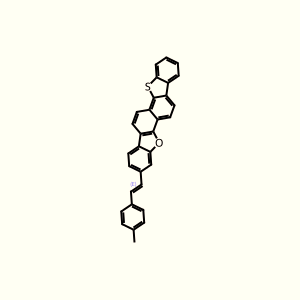 Cc1ccc(/C=C/c2ccc3c(c2)oc2c3ccc3c2ccc2c4ccccc4sc23)cc1